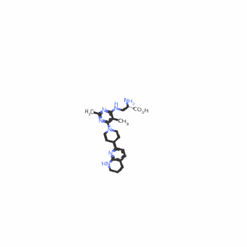 Cc1nc(NC[C@H](N)C(=O)O)c(C)c(N2CCC(c3ccc4c(n3)NCCC4)CC2)n1